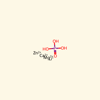 O=P(O)(O)O.[Ca+2].[Li+].[Mg+2].[Zn+2]